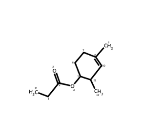 CCC(=O)OC1CCC(C)=CC1C